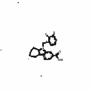 O=C(O)c1ccc2c3c(n(Cc4cccc(F)c4F)c2c1)CCCC3